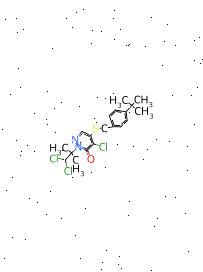 CC(C)(C)c1ccc(CSc2cnn(C(C)(C)C(Cl)Cl)c(=O)c2Cl)cc1